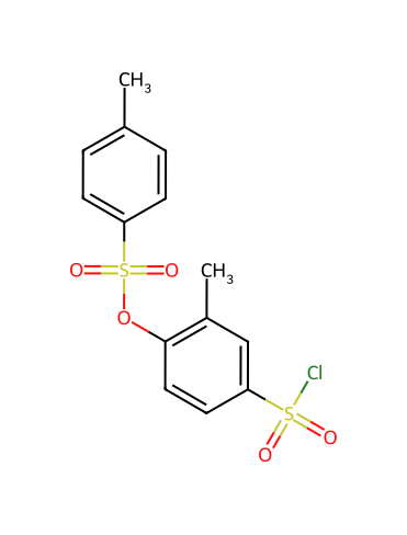 Cc1ccc(S(=O)(=O)Oc2ccc(S(=O)(=O)Cl)cc2C)cc1